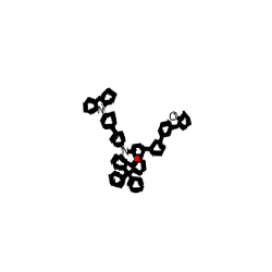 c1ccc(C2(c3ccccc3)c3ccccc3-c3c(N(c4ccc(-c5ccc(-n6c7ccccc7c7ccccc76)cc5)cc4)c4ccc(-c5cccc(-c6ccc7oc8ccccc8c7c6)c5)cc4)cccc32)cc1